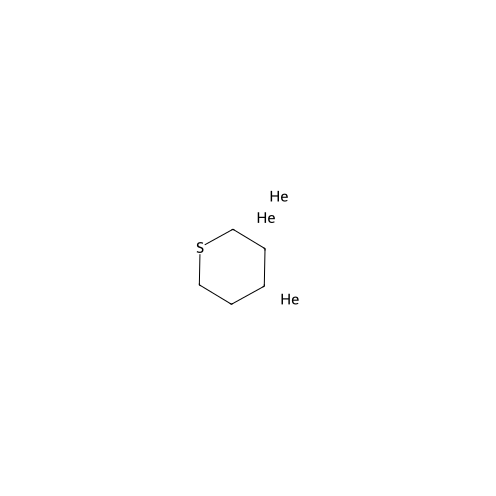 C1CCSCC1.[He].[He].[He]